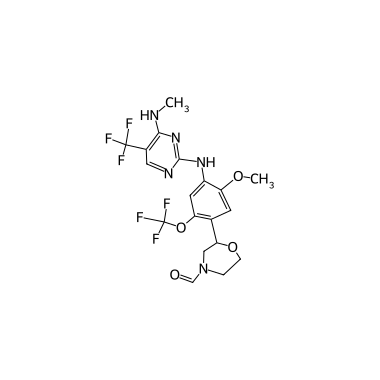 CNc1nc(Nc2cc(OC(F)(F)F)c(C3CN(C=O)CCO3)cc2OC)ncc1C(F)(F)F